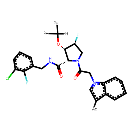 [2H]C([2H])([2H])O[C@H]1[C@@H](C(=O)NCc2cccc(Cl)c2F)N(C(=O)Cn2cc(C(C)=O)c3ccccc32)C[C@@H]1F